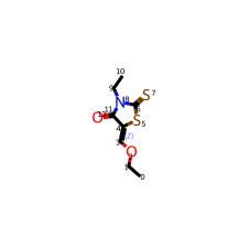 CCO/C=C1\SC(=S)N(CC)C1=O